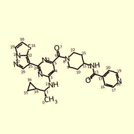 C[C@H](Nc1cc(C(=O)N2CCC(NC(=O)c3ccncc3)CC2)nc(-c2cnn3ccsc23)n1)C1CC1